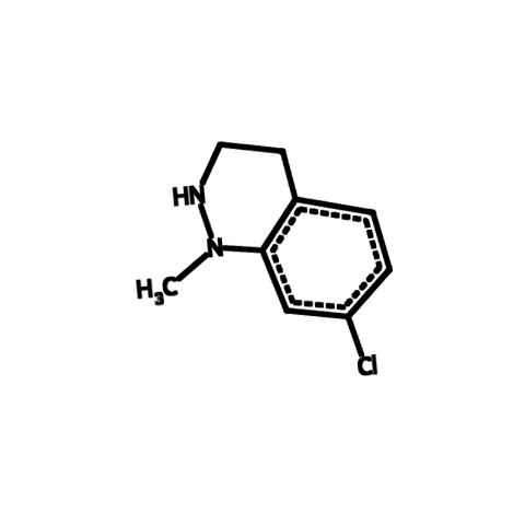 CN1NCCc2ccc(Cl)cc21